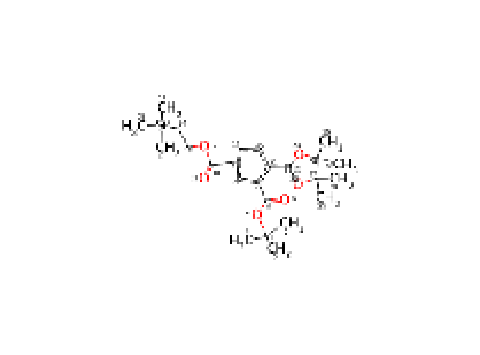 CC(C)(C)OC(=O)c1cc(C(=O)OCC[Si](C)(C)C)ccc1B1OC(C)(C)C(C)(C)O1